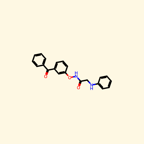 O=C(CNc1ccccc1)NOc1cccc(C(=O)c2ccccc2)c1